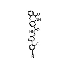 N#Cc1ccc(-c2ncc(CNC(=O)c3ccc4c(c3)NC(=O)c3ccccc3S4)s2)c(Cl)c1